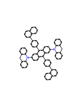 c1ccc2c(c1)Cc1ccccc1N2c1ccc2c(-c3ccc(-c4cccc5ccccc45)cc3)c3cc(N4c5ccccc5Cc5ccccc54)ccc3c(-c3ccc(-c4cccc5ccccc45)cc3)c2c1